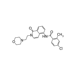 Cc1cc(Cl)ccc1C(=O)Nc1cccc2c(=O)n(CCN3CCOCC3)ccc12